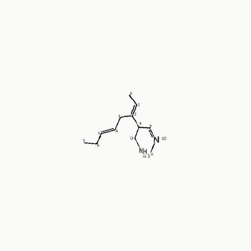 C/C=C(\C/C=C/CC)C(/C=N\C)CN